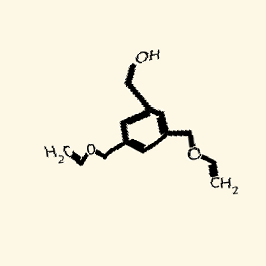 C=COCc1cc(CO)cc(COC=C)c1